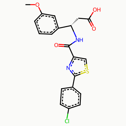 COc1cccc([C@H](CC(=O)O)NC(=O)c2csc(-c3ccc(Cl)cc3)n2)c1